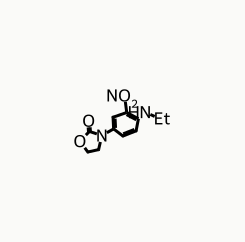 CCNc1ccc(N2CCOC2=O)cc1[N+](=O)[O-]